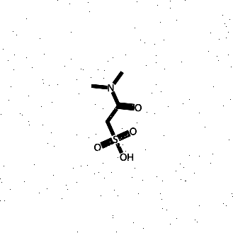 CN(C)C(=O)CS(=O)(=O)O